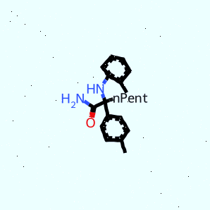 CCCCCC(Nc1ccccc1C)(C(N)=O)c1ccc(C)cc1